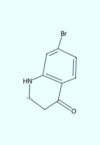 O=C1C[C]Nc2cc(Br)ccc21